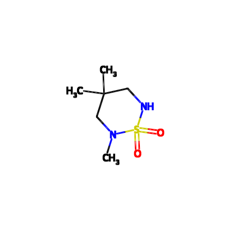 CN1CC(C)(C)CNS1(=O)=O